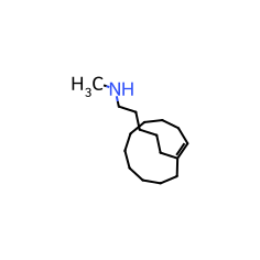 CNCCCCC/C1=C\CCCCCCCCC1